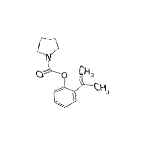 C=C(C)c1ccccc1OC(=O)N1CCCC1